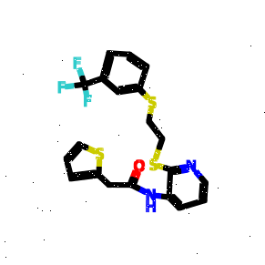 O=C(Cc1cccs1)Nc1cccnc1SCCSc1cccc(C(F)(F)F)c1